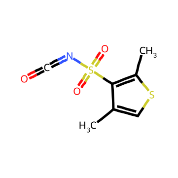 Cc1csc(C)c1S(=O)(=O)N=C=O